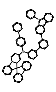 C1=CC2c3ccccc3C3(c4ccccc4-c4ccccc43)C2C=C1N(c1ccc(-c2ccccc2)cc1)c1cccc(-c2cccc(-c3ccc4c(c3)c3ccccc3n4-c3ccccc3)c2)c1